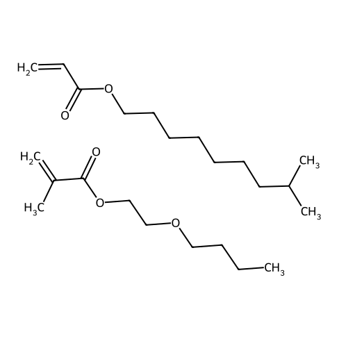 C=C(C)C(=O)OCCOCCCC.C=CC(=O)OCCCCCCCC(C)C